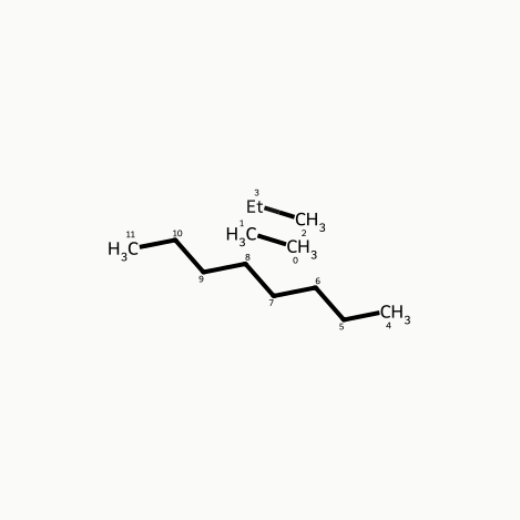 CC.CCC.CCCCCCCC